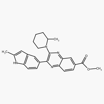 COC(=O)c1ccc2nc(-c3ccc4[nH]c(C)cc4c3)c(N3CCCCC3C)nc2c1